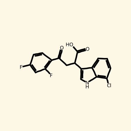 O=C(CC(C(=O)O)c1c[nH]c2c(Cl)cccc12)c1ccc(F)cc1F